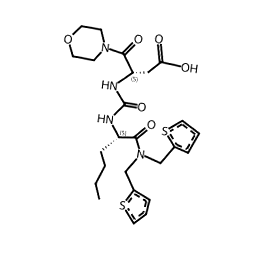 CCCC[C@H](NC(=O)N[C@@H](CC(=O)O)C(=O)N1CCOCC1)C(=O)N(Cc1cccs1)Cc1cccs1